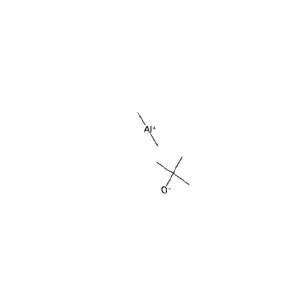 CC(C)(C)[O-].[CH3][Al+][CH3]